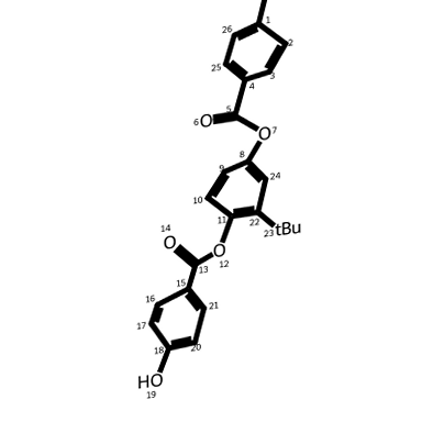 COc1ccc(C(=O)Oc2ccc(OC(=O)c3ccc(O)cc3)c(C(C)(C)C)c2)cc1